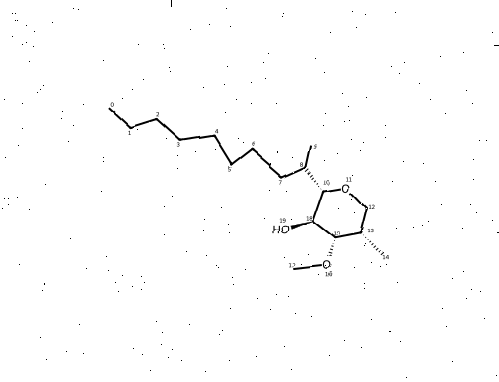 CCCCCCCCC(C)[C@@H]1OC[C@H](C)[C@H](OC)[C@H]1O